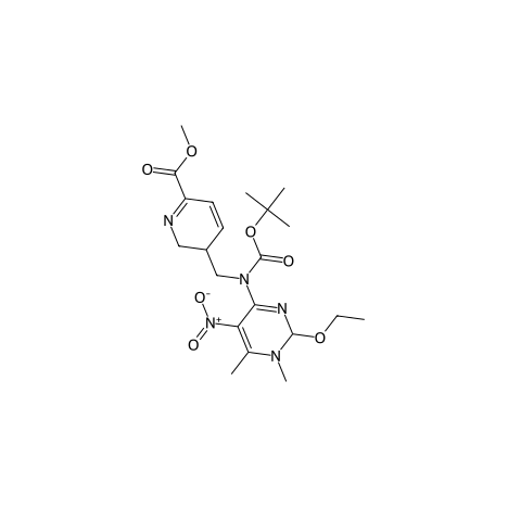 CCOC1N=C(N(CC2C=CC(C(=O)OC)=NC2)C(=O)OC(C)(C)C)C([N+](=O)[O-])=C(C)N1C